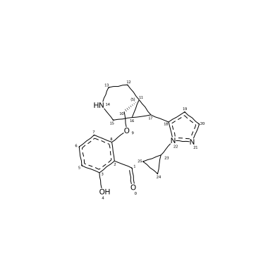 O=Cc1c(O)cccc1OC[C@@]12CCNCC1C2c1ccnn1C1CC1